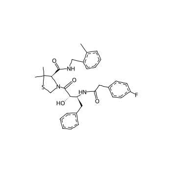 Cc1ccccc1CNC(=O)[C@H]1N(C(=O)[C@@H](O)[C@H](Cc2ccccc2)NC(=O)Cc2ccc(F)cc2)CSC1(C)C